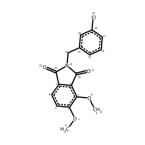 COc1ccc2c(c1OC)C(=O)N(Cc1cccc(Cl)c1)C2=O